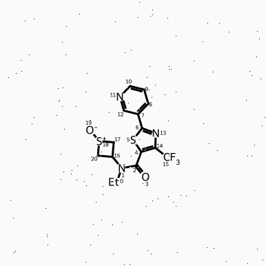 CCN(C(=O)c1sc(-c2cccnc2)nc1C(F)(F)F)C1C[S+]([O-])C1